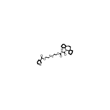 O=C(NC(=O)N1c2ccccc2C=Cc2ccccc21)OCCSSCCOC(=O)c1cccnc1